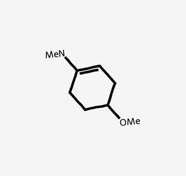 CNC1=CCC(OC)CC1